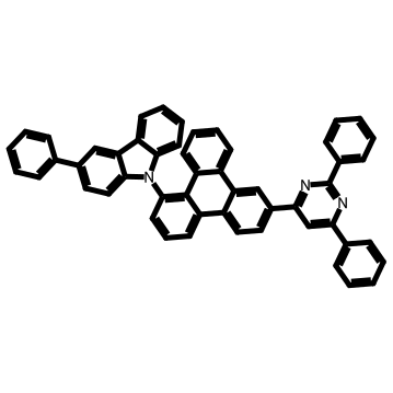 c1ccc(-c2ccc3c(c2)c2ccccc2n3-c2cccc3c4ccc(-c5cc(-c6ccccc6)nc(-c6ccccc6)n5)cc4c4ccccc4c23)cc1